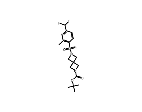 Cc1nc(C(F)F)ccc1S(=O)(=O)N1CC2(CN(C(=O)OC(C)(C)C)C2)C1